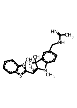 CC(=N)NCc1ccc2c(c1)C(C)(C)C(=Cc1sc3ccccc3[n+]1C)N2C